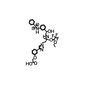 CC(C)(CCn1cnc(-c2cccc(OCC(=O)O)c2)c1)NCC(O)c1cccc(NS(=O)(=O)c2ccccc2)c1.CCOC(=O)C(F)(F)F